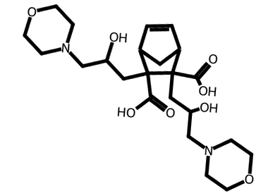 O=C(O)C1(CC(O)CN2CCOCC2)C2C=CC(C2)C1(CC(O)CN1CCOCC1)C(=O)O